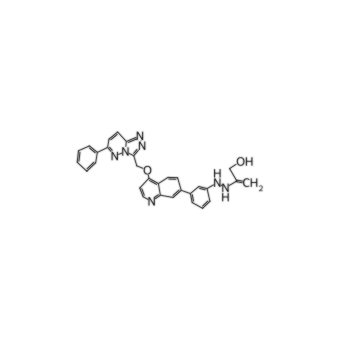 C=C(CO)NNc1cccc(-c2ccc3c(OCc4nnc5ccc(-c6ccccc6)nn45)ccnc3c2)c1